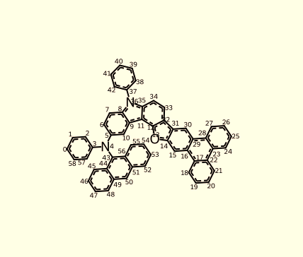 c1ccc(N(c2ccc3c(c2)c2c4oc5cc6c7ccccc7c7ccccc7c6cc5c4ccc2n3-c2ccccc2)c2c3ccccc3cc3ccccc23)cc1